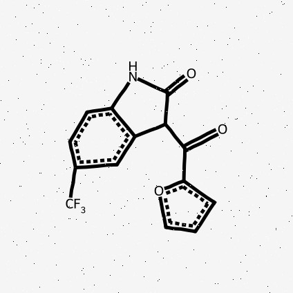 O=C1Nc2ccc(C(F)(F)F)cc2C1C(=O)c1ccco1